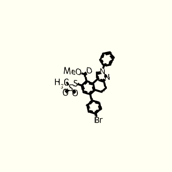 COC(=O)c1c(SS(C)(=O)=O)cc(-c2ccc(Br)cc2)c2c1-c1cn(-c3ccccc3)nc1CC2